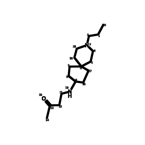 CCCN1CCC2(CCC(NCCC(C)=O)CC2)CC1